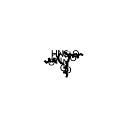 C=C(CC)OC(=O)CN1CCNCCN(CC(=O)OC(=C)CC)CCN(CC(=O)OC(=C)CC)CC1